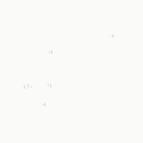 OCCCCCC(S)c1c[nH]c(S)n1